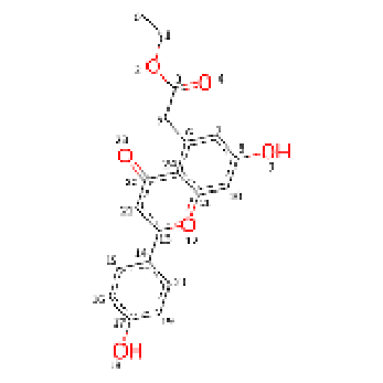 CCOC(=O)Cc1cc(O)cc2oc(-c3ccc(O)cc3)cc(=O)c12